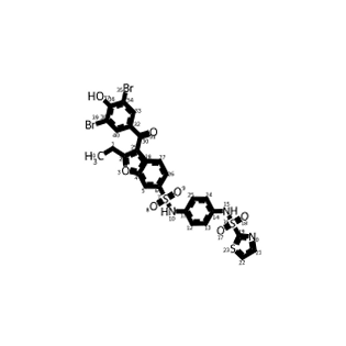 CCc1oc2cc(S(=O)(=O)Nc3ccc(NS(=O)(=O)c4nccs4)cc3)ccc2c1C(=O)c1cc(Br)c(O)c(Br)c1